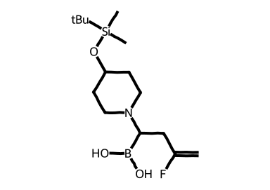 C=C(F)CC(B(O)O)N1CCC(O[Si](C)(C)C(C)(C)C)CC1